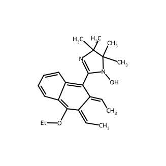 C/C=c1/c(C2=NC(C)(C)C(C)(C)N2O)c2ccccc2c(OCC)/c1=C/C